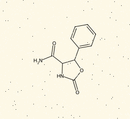 NC(=O)C1NC(=O)OC1c1ccccc1